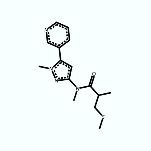 CSCC(C)C(=O)N(C)c1cc(-c2cccnc2)n(C)n1